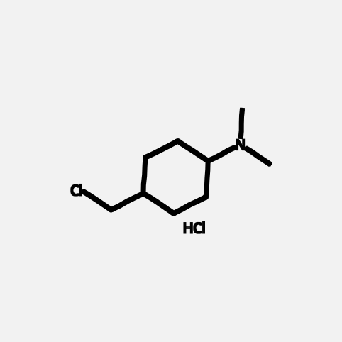 CN(C)C1CCC(CCl)CC1.Cl